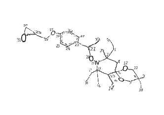 CCC1(C)CC2(OCC(C)(C)CO2)C(C)C(C)(CC)N1OC(C)c1ccc(OCC2CO2)cc1